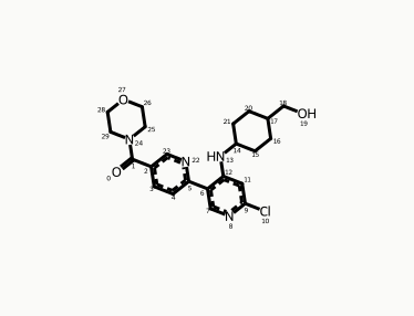 O=C(c1ccc(-c2cnc(Cl)cc2NC2CCC(CO)CC2)nc1)N1CCOCC1